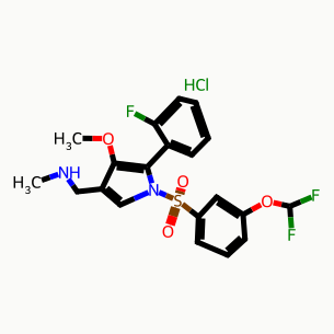 CNCc1cn(S(=O)(=O)c2cccc(OC(F)F)c2)c(-c2ccccc2F)c1OC.Cl